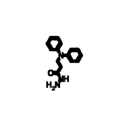 NNC(=O)CCN(c1ccccc1)c1ccccc1